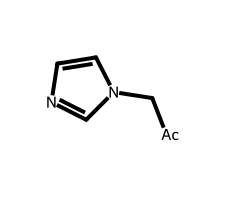 CC(=O)Cn1ccnc1